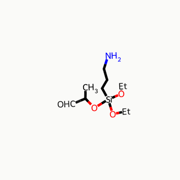 CCO[Si](CCCN)(OCC)OC(C)C=O